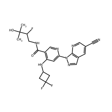 CC(C)(O)C(F)CNC(=O)c1cnc(-n2ncc3cc(C#N)cnc32)cc1NC1CC(F)(F)C1